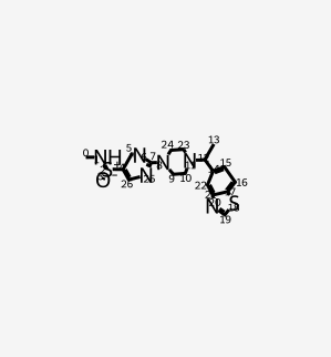 CN[S+]([O-])c1cnc(N2CCN(C(C)c3ccc4scnc4c3)CC2)nc1